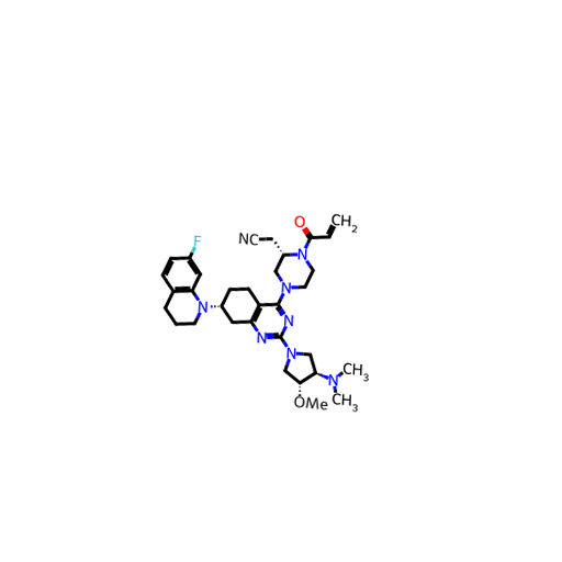 C=CC(=O)N1CCN(c2nc(N3C[C@@H](N(C)C)[C@H](OC)C3)nc3c2CC[C@@H](N2CCCc4ccc(F)cc42)C3)C[C@@H]1CC#N